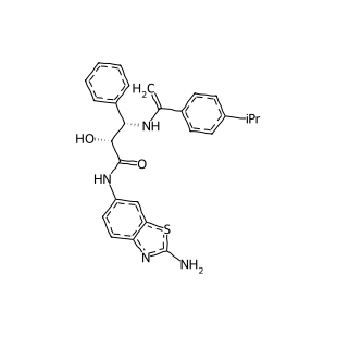 C=C(N[C@@H](c1ccccc1)[C@@H](O)C(=O)Nc1ccc2nc(N)sc2c1)c1ccc(C(C)C)cc1